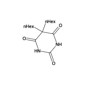 CCCCCCC1(CCCCCC)C(=O)NC(=O)NC1=O